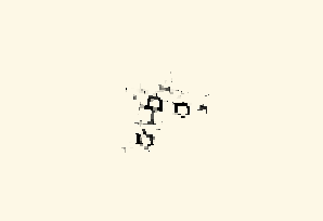 Cc1cc(NC(=O)c2c(Oc3ccc(OC(F)(F)F)c(F)c3OC(O)(O)O)cc(Cl)c(C(O)(O)O)c2F)ccn1